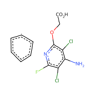 Nc1c(Cl)c(F)nc(OCC(=O)O)c1Cl.[c]1ccccc1